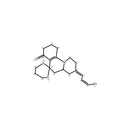 CC/C=C\C=C1\CCN2C3=C(C(=O)CCC3)C3(CC2C1)SCCCS3